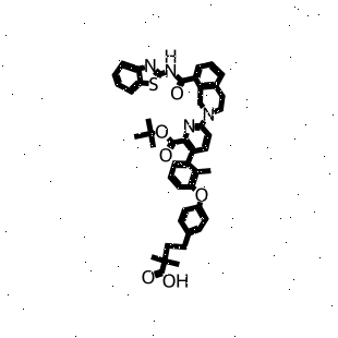 Cc1c(Oc2ccc(CCC(C)(C)C(=O)O)cc2)cccc1-c1ccc(N2CCc3cccc(C(=O)Nc4nc5ccccc5s4)c3C2)nc1C(=O)OC(C)(C)C